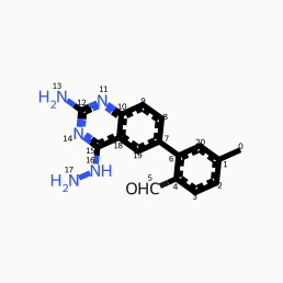 Cc1ccc(C=O)c(-c2ccc3nc(N)nc(NN)c3c2)c1